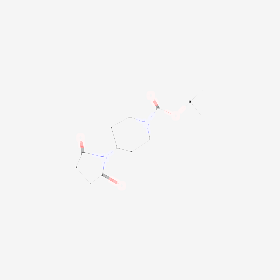 CC(C)(C)OC(=O)N1CCC(N2C(=O)CCC2=O)CC1